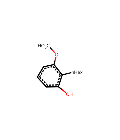 CCCCCCc1c(O)cccc1OC(=O)O